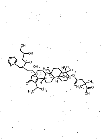 CC(C)C1=C2[C@H]3CC[C@@H]4[C@@]5(C)CC[C@H](OC(=O)CC(C)(C)C(=O)O)C(C)(C)[C@@H]5CC[C@@]4(C)[C@]3(C)CC[C@@]2([C@@H](O)CN(Cc2ccccn2)C(=O)CC(O)CO)CC1=O